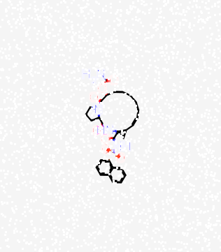 NC(=O)OC1CCCCCC=CC2CC2(C(=O)NS(=O)(=O)c2cccc3ccccc23)NC(=O)C2CCCN2C1=O